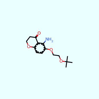 CC(C)(C)OCCOc1ccc2c(c1N)C(=O)CCO2